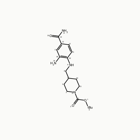 CC(C)(C)OC(=O)N1CCC(CNc2ccc(C(N)=O)cc2N)CC1